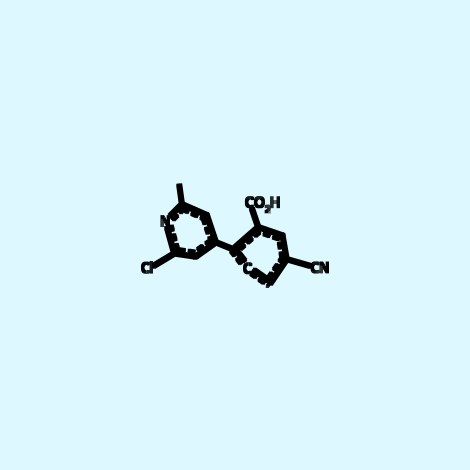 Cc1cc(-c2ccc(C#N)cc2C(=O)O)cc(Cl)n1